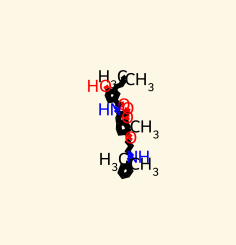 CC(C)=CCc1cc(C(=O)Nc2cc3ccc(OCCCNC(C)(C)c4ccccc4)c(C)c3oc2=O)ccc1O